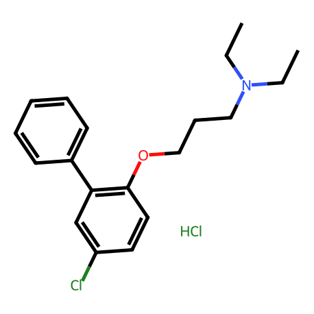 CCN(CC)CCCOc1ccc(Cl)cc1-c1ccccc1.Cl